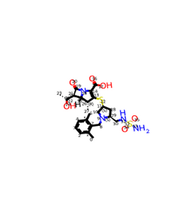 Cc1cccc(C)c1CN1C[C@@H](SC2=C(C(=O)O)N3C(=O)[C@H]([C@@H](C)O)[C@H]3[C@H]2C)C[C@H]1CNS(N)(=O)=O